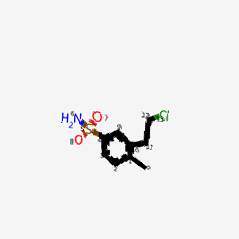 Cc1ccc(S(N)(=O)=O)cc1CCCl